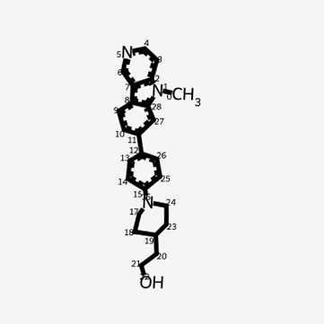 Cn1c2ccncc2c2ccc(-c3ccc(N4CCC(CCO)CC4)cc3)cc21